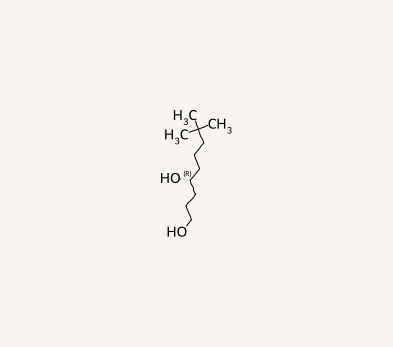 CC(C)(C)CCC[C@@H](O)CCCO